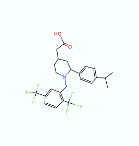 CC(C)c1ccc(C2CC(CC(=O)O)CCN2Cc2cc(C(F)(F)F)ccc2C(F)(F)F)cc1